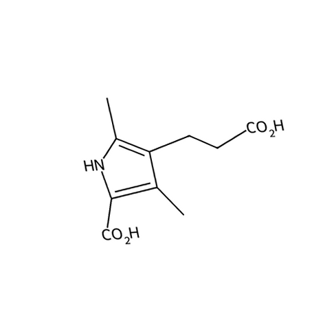 Cc1[nH]c(C(=O)O)c(C)c1CCC(=O)O